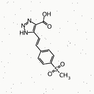 CS(=O)(=O)c1ccc(C=Cc2[nH]nnc2C(=O)O)cc1